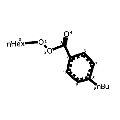 [CH2]CCCCCOOC(=O)c1ccc(CCCC)cc1